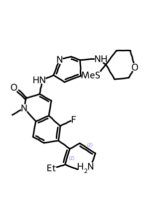 CC/C(C)=C(/C=C\N)c1ccc2c(cc(Nc3ccc(NC4(SC)CCOCC4)cn3)c(=O)n2C)c1F